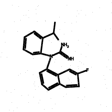 CC(C)c1ccccc1N(C(=N)N)c1cccc2ccc(F)cc12